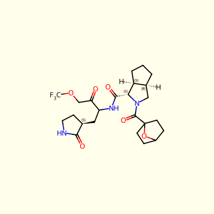 O=C(COC(F)(F)F)C(C[C@@H]1CCNC1=O)NC(=O)[C@@H]1[C@H]2CCC[C@H]2CN1C(=O)C12CCC(CC1)O2